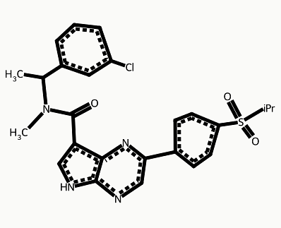 CC(c1cccc(Cl)c1)N(C)C(=O)c1c[nH]c2ncc(-c3ccc(S(=O)(=O)C(C)C)cc3)nc12